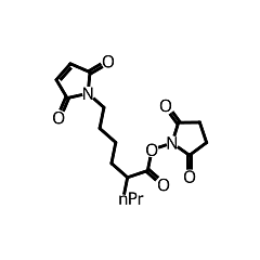 CCCC(CCCCN1C(=O)C=CC1=O)C(=O)ON1C(=O)CCC1=O